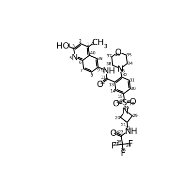 Cc1cc(O)nc2ccc(NC(=O)c3cc(S(=O)(=O)N4CC(NC(=O)C(F)(F)F)C4)ccc3N3CCOCC3)cc12